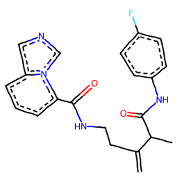 C=C(CCNC(=O)c1cccc2cncn12)C(C)C(=O)Nc1ccc(F)cc1